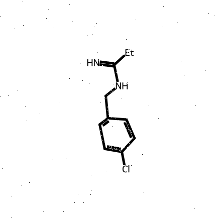 CCC(=N)NCc1ccc(Cl)cc1